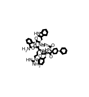 CCCC(=O)N[C@]1(C(=O)N[C@H](Cc2ccccc2)C(=O)N[C@@H](CCCNC(=N)N)C(=O)N[C@@H](Cc2c[nH]c3ccccc23)C(=O)Nc2ccccc2C(N)=O)CC[C@H](c2ccccc2)CC1